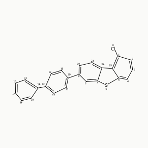 Clc1cccc2sc3cc(-c4ccc(-c5ccccc5)cc4)ccc3c12